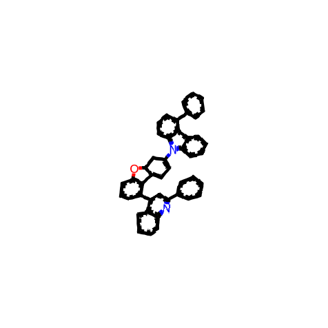 C1=C2c3c(cccc3-c3cc(-c4ccccc4)nc4ccccc34)OC2CC(n2c3ccccc3c3c(-c4ccccc4)cccc32)=C1